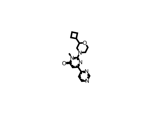 Cn1c(N2CCOC(C3CCC3)C2)nc(-c2ccncn2)cc1=O